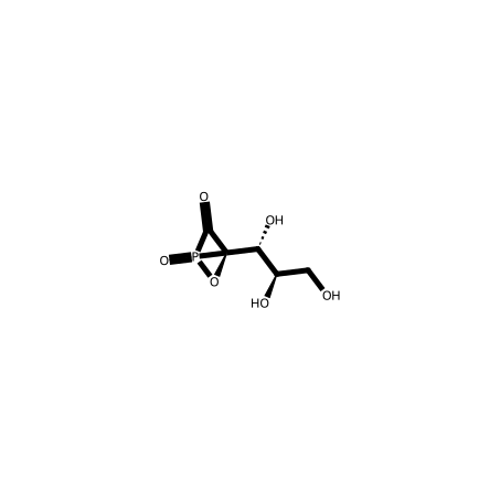 O=C1[C@@]2([C@H](O)[C@H](O)CO)OP12=O